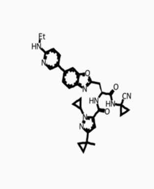 CCNc1ccc(-c2ccc3nc(C[C@H](NC(=O)c4cc(C5(C)CC5)nn4C4CC4)C(=O)NC4(C#N)CC4)oc3c2)cn1